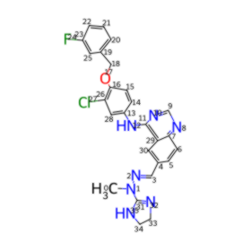 CN(N=Cc1ccc2ncnc(Nc3ccc(OCc4cccc(F)c4)c(Cl)c3)c2c1)C1=NCCN1